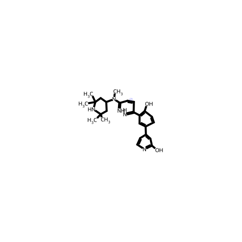 CN(C(=N)/C=C\C(=N)c1cc(-c2ccnc(O)c2)ccc1O)C1CC(C)(C)NC(C)(C)C1